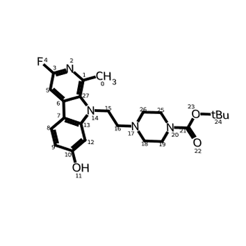 Cc1nc(F)cc2c3ccc(O)cc3n(CCN3CCN(C(=O)OC(C)(C)C)CC3)c12